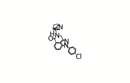 O=C1c2cccc3c2c(nn3-c2ccc(Cl)cc2)CN1[C@H]1CN2CCC1CC2